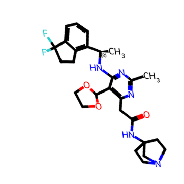 Cc1nc(CC(=O)NC23CCN(CC2)C3)c(C2OCCO2)c(N[C@H](C)c2cccc3c2CCC3(F)F)n1